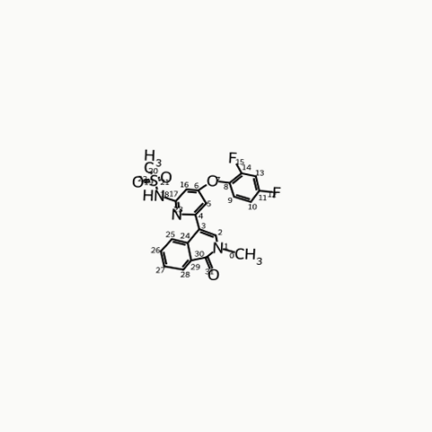 Cn1cc(-c2cc(Oc3ccc(F)cc3F)cc(NS(C)(=O)=O)n2)c2ccccc2c1=O